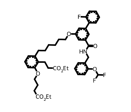 CCOC(=O)CCCOc1cccc(CCCCCCOc2cc(C(=O)NCc3ccccc3OC(F)F)cc(-c3ccccc3F)c2)c1CCC(=O)OCC